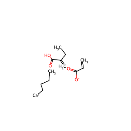 C=C(CC)C(=O)O.C=CC(=O)[O-].CCC[CH2][Ca+]